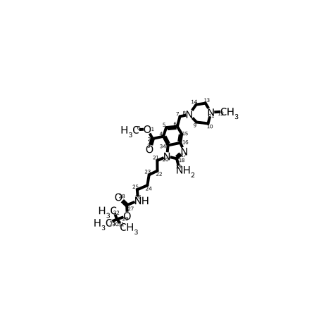 COC(=O)c1cc(CN2CCN(C)CC2)cc2nc(N)n(CCCCCNC(=O)OC(C)(C)C)c12